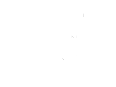 CC(C)(C)OC(=O)N1C(C(=O)NCC#N)C2CC[C@@H]1C2